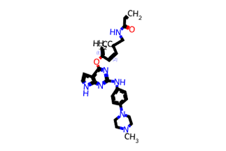 C=CC(=O)NCC(=C)/C=C\C(=C/C)Oc1nc(Nc2ccc(N3CCN(C)CC3)cc2)nc2[nH]ccc12